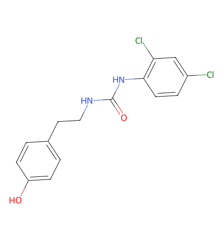 O=C(NCCc1ccc(O)cc1)Nc1ccc(Cl)cc1Cl